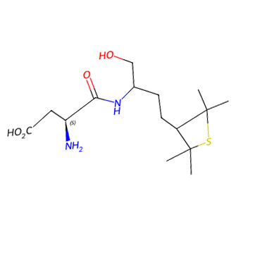 CC1(C)SC(C)(C)C1CCC(CO)NC(=O)[C@@H](N)CC(=O)O